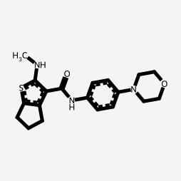 CNc1sc2c(c1C(=O)Nc1ccc(N3CCOCC3)cc1)CCC2